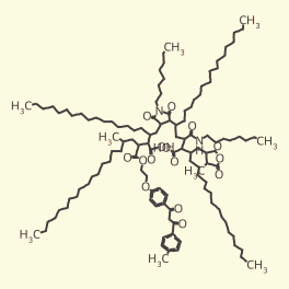 CCCCCCCCCCCCCCCCC(C)CC(C(=O)OCCOc1ccc(C(=O)CC(=O)c2ccc(C)cc2)cc1)C(C(=O)O)C(CCCCCCCCCCCCCCCC)CC1C(=O)N(CCCCCCCC)C(=O)C1C(CCCCCCCCCCCCCCCC)CC(C(=O)NCCCCCCCC)C(C(=O)O)C(CCCCCCCCCCCCCCCC)CC1C(=O)OC(=O)C1C